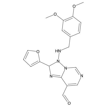 COc1ccc(CNN2C(c3ccco3)N=C3C(C=O)=CN=CN32)cc1OC